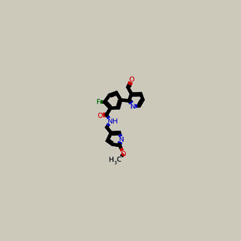 COc1ccc(CNC(=O)c2cc(-c3ncccc3C=O)ccc2F)cn1